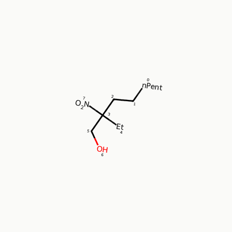 CCCCCCCC(CC)(CO)[N+](=O)[O-]